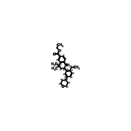 CCOC(=O)c1ccc2c(c1)C(C)(C)CC(c1cc(N3CCOCC3)ccc1CC)N2